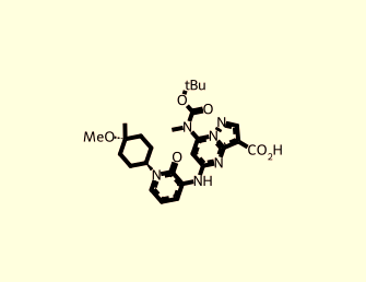 CO[C@]1(C)CC[C@@H](n2cccc(Nc3cc(N(C)C(=O)OC(C)(C)C)n4ncc(C(=O)O)c4n3)c2=O)CC1